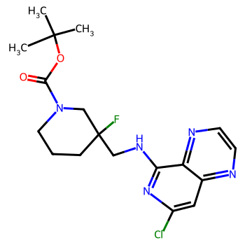 CC(C)(C)OC(=O)N1CCCC(F)(CNc2nc(Cl)cc3nccnc23)C1